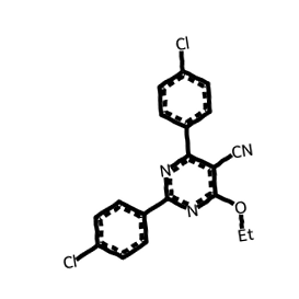 CCOc1nc(-c2ccc(Cl)cc2)nc(-c2ccc(Cl)cc2)c1C#N